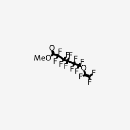 COC(=O)C(F)(F)C(F)(F)C(F)(F)C(F)(F)C(F)(F)OC(F)=C(F)F